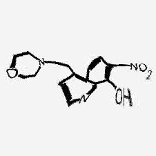 O=[N+]([O-])c1ccc2c(CN3CCOCC3)ccnc2c1O